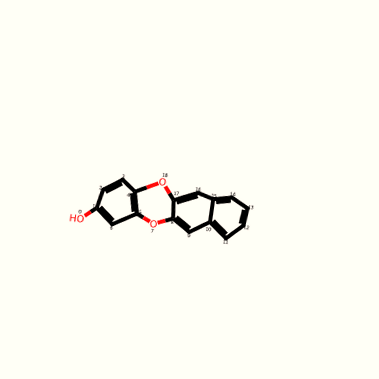 Oc1ccc2c(c1)Oc1cc3ccccc3cc1O2